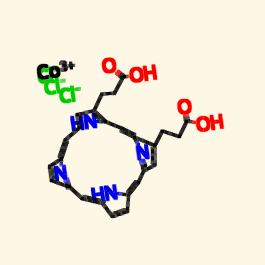 O=C(O)CCC1=Cc2cc3ccc(cc4nc(cc5cc(CCC(=O)O)c(cc1n2)[nH]5)C=C4)[nH]3.[Cl-].[Cl-].[Cl-].[Co+3]